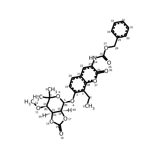 CCc1c(O[C@@H]2OC(C)(C)[C@H](OC)[C@@H]3OC(=O)O[C@H]23)ccc2cc(NC(=O)OCc3ccccc3)c(=O)oc12